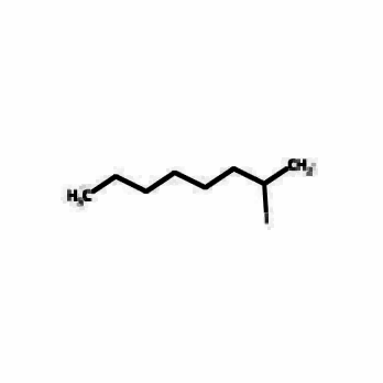 [CH2]C(I)CCCCCC